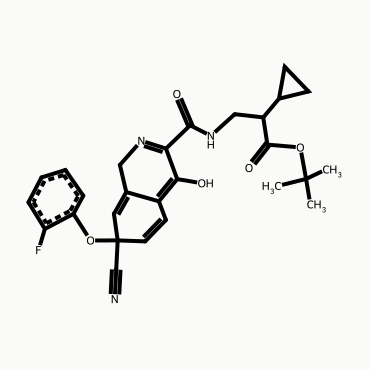 CC(C)(C)OC(=O)C(CNC(=O)C1=NCC2=CC(C#N)(Oc3ccccc3F)C=CC2=C1O)C1CC1